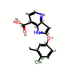 Cc1cc(Oc2cc3nccc(C(=O)O)c3[nH]2)ccc1Cl